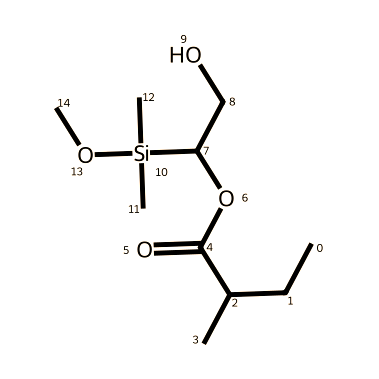 CCC(C)C(=O)OC(CO)[Si](C)(C)OC